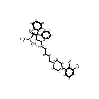 CN(C)C(=O)C(CCNCCCCN1CCN(c2cccc(Cl)c2Cl)CC1)(c1ccccc1)c1ccccc1